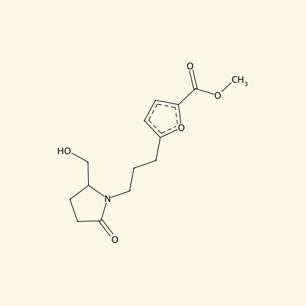 COC(=O)c1ccc(CCCN2C(=O)CCC2CO)o1